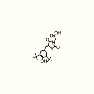 CC(C)(C)c1cc(/C=C2\SC(=O)N(CC(=O)O)C2=O)cc(C(C)(C)C)c1O